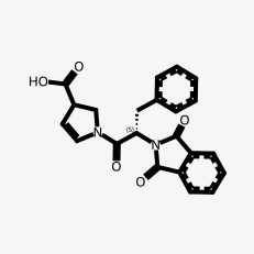 O=C(O)C1C=CN(C(=O)[C@H](Cc2ccccc2)N2C(=O)c3ccccc3C2=O)C1